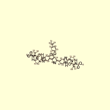 COC(=O)N[C@H](C(=O)N1CCC[C@H]1c1nc2cc(-c3cc(C(=O)Oc4ccc(C(C)(C)C)cc4)c(-c4ccc5[nH]c([C@@H]6CCCN6C(=O)[C@@H](NC(=O)OC)C(C)C)nc5c4)cn3)ccc2[nH]1)C(C)C